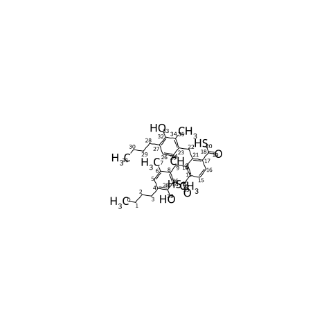 CCCCc1cc(C)c(Cc2c(C(=O)S)ccc(C(=O)S)c2Cc2c(C)cc(CCCC)c(O)c2C)c(C)c1O